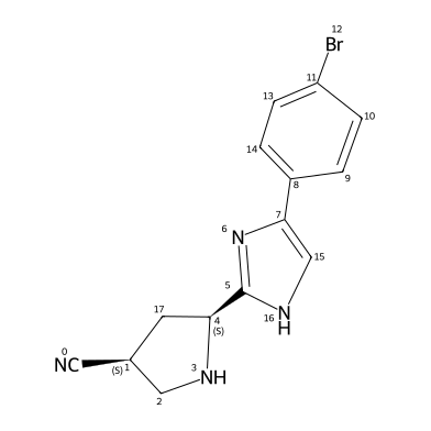 N#C[C@@H]1CN[C@H](c2nc(-c3ccc(Br)cc3)c[nH]2)C1